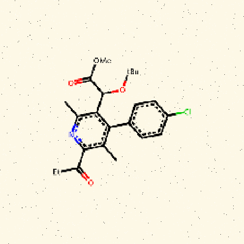 CCC(=O)c1nc(C)c([C@H](OC(C)(C)C)C(=O)OC)c(-c2ccc(Cl)cc2)c1C